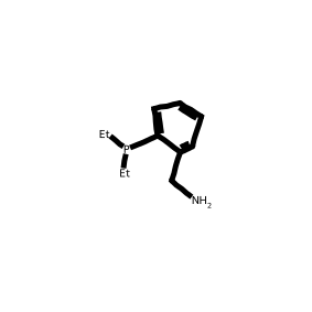 CCP(CC)c1ccccc1CN